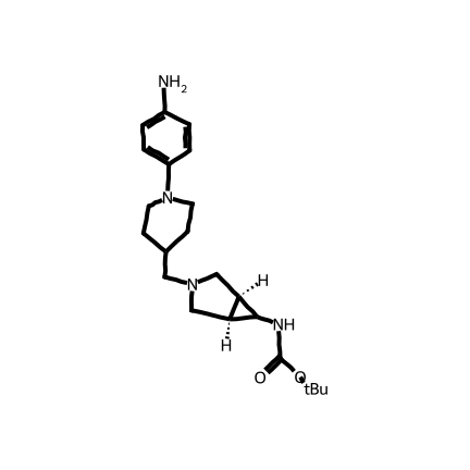 CC(C)(C)OC(=O)NC1[C@H]2CN(CC3CCN(c4ccc(N)cc4)CC3)C[C@@H]12